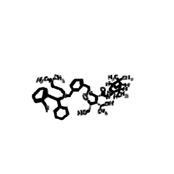 C[C@@H]1[C@@H](NC(=O)[C@@H]2[C@H]([C@H](C)O)[C@H](CO)ON2Cc2cccc(CN(CCN(C)C)C(c3ccccc3F)C3CCCCC3)c2)C[C@H]2C[C@@H]1C2(C)C